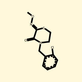 CON=C1SCCN(Cc2ccccc2Cl)C1=O